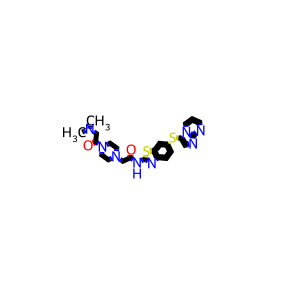 CN(C)CC(=O)N1CCN(CC(=O)Nc2nc3ccc(Sc4cnc5ncccn45)cc3s2)CC1